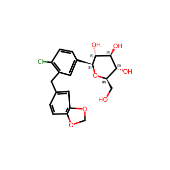 OC[C@H]1O[C@@H](c2ccc(Cl)c(Cc3ccc4c(c3)OCO4)c2)[C@H](O)[C@@H](O)[C@@H]1O